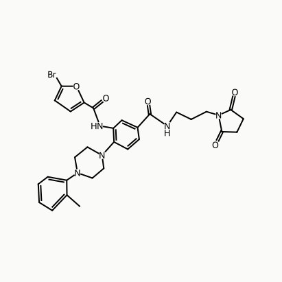 Cc1ccccc1N1CCN(c2ccc(C(=O)NCCCN3C(=O)CCC3=O)cc2NC(=O)c2ccc(Br)o2)CC1